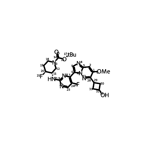 COc1cc2ncc(-c3nc(N[C@H]4CN(C(=O)OC(C)(C)C)CC[C@@H]4F)ncc3F)n2nc1C1CC(O)C1